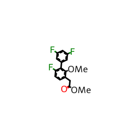 COC(=O)Cc1ccc(F)c(-c2cc(F)cc(F)c2)c1OC